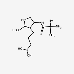 CC(C)C(C)(N)C(=O)NC1CNC(C(=O)O)C1CCCB(O)O